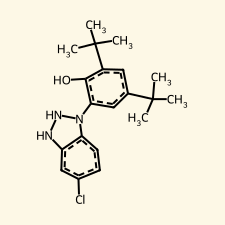 CC(C)(C)c1cc(N2NNc3cc(Cl)ccc32)c(O)c(C(C)(C)C)c1